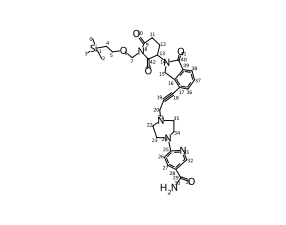 C[Si](C)(C)CCOCN1C(=O)CCC(N2Cc3c(C#CCN4CCN(c5ccc(C(N)=O)cn5)CC4)cccc3C2=O)C1=O